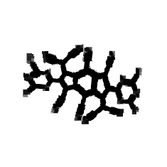 N#CC(C#N)=C1C(c2nc(F)nc(F)n2)=C(C#N)c2c(C#N)c3c(c(C#N)c21)C(C#N)=C(c1nc(F)nc(F)n1)C3=C(C#N)C#N